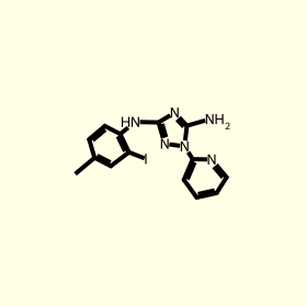 Cc1ccc(Nc2nc(N)n(-c3ccccn3)n2)c(I)c1